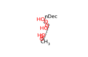 CCCCCCCCCCCC[C@@H](O)[C@H]1CCC(C2CCC(CC(O)CCCCC[C@@H](O)CC3=C[C@H](C)OC3=O)O2)O1